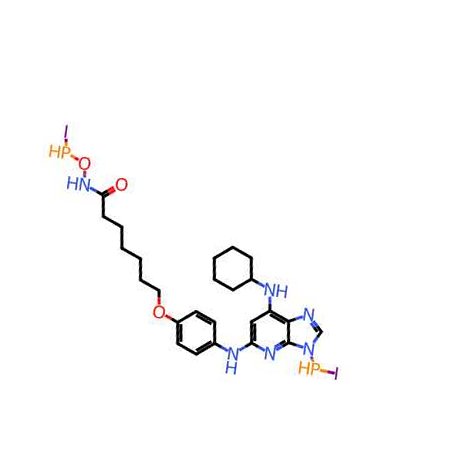 O=C(CCCCCCOc1ccc(Nc2cc(NC3CCCCC3)c3ncn(PI)c3n2)cc1)NOPI